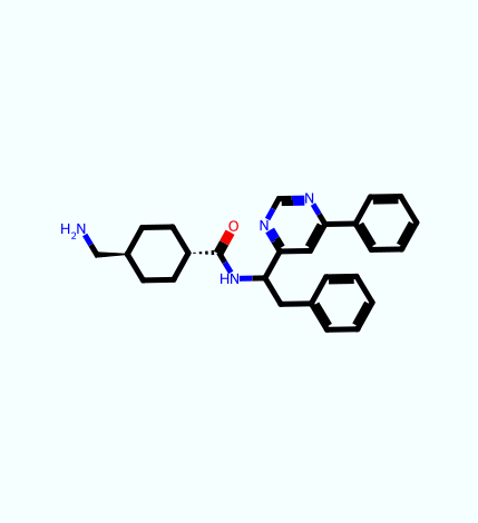 NC[C@H]1CC[C@H](C(=O)NC(Cc2ccccc2)c2cc(-c3ccccc3)ncn2)CC1